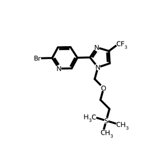 CS(C)(C)CCOCn1cc(C(F)(F)F)nc1-c1ccc(Br)nc1